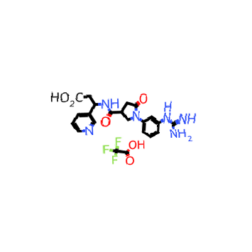 N=C(N)Nc1cccc(N2CC(C(=O)NC(CC(=O)O)c3cccnc3)CC2=O)c1.O=C(O)C(F)(F)F